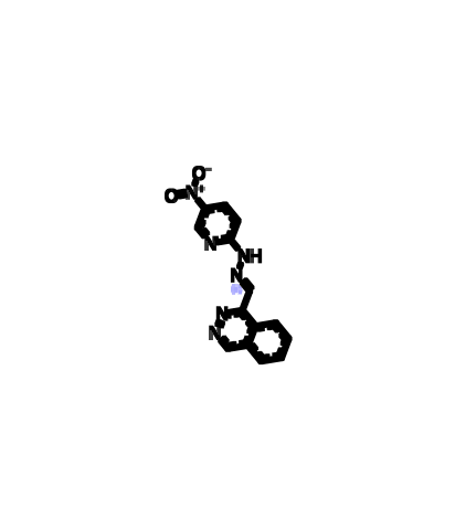 O=[N+]([O-])c1ccc(N/N=C/c2nncc3ccccc23)nc1